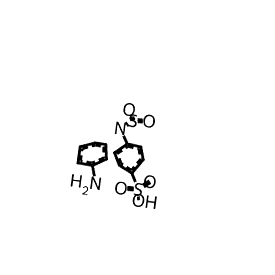 Nc1ccccc1.O=S(=O)=Nc1ccc(S(=O)(=O)O)cc1